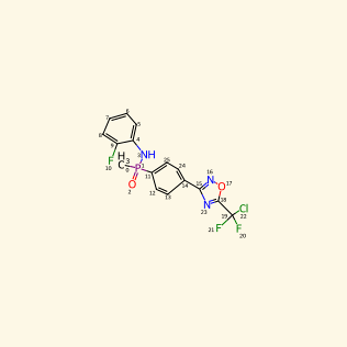 CP(=O)(Nc1ccccc1F)c1ccc(-c2noc(C(F)(F)Cl)n2)cc1